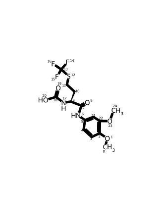 COc1ccc(NC(=O)[C@H](CCSC(F)(F)F)NC(=O)O)cc1OC